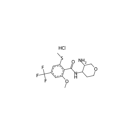 COc1cc(C(F)(F)F)cc(SC)c1C(=O)NC1CCOCC1N.Cl